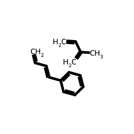 C=CC(=C)C.C=CC=Cc1ccccc1